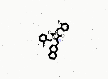 O=C1/C(=C/c2ccc3ccccc3c2)N(Cc2ccccc2F)C(=O)N1Cc1ccccc1F